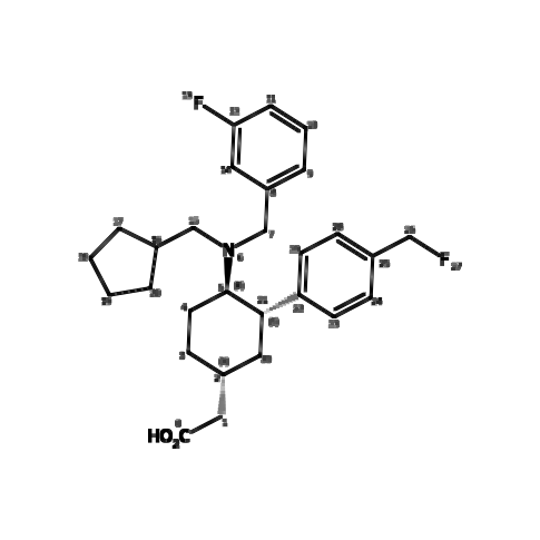 O=C(O)C[C@@H]1CC[C@@H](N(Cc2cccc(F)c2)CC2CCCC2)[C@H](c2ccc(CF)cc2)C1